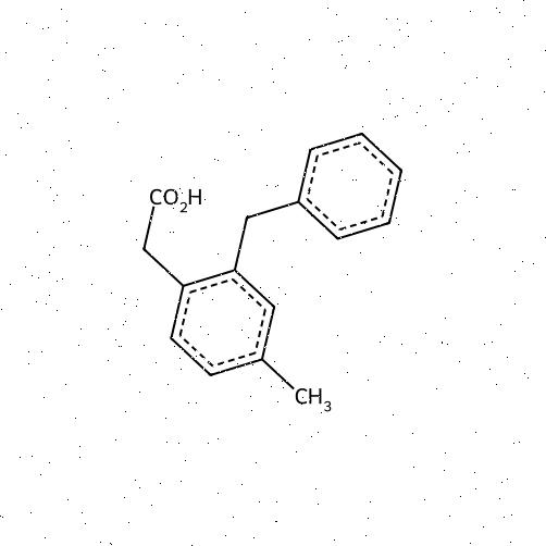 Cc1ccc(CC(=O)O)c(Cc2ccccc2)c1